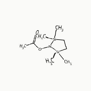 CC(=O)ON1[Si](C)(C)CC[Si]1(C)C